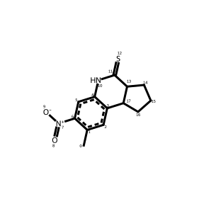 Cc1cc2c(cc1[N+](=O)[O-])NC(=S)C1CCCC21